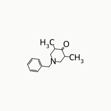 CC1CN(Cc2ccccc2)CC(C)C1=O